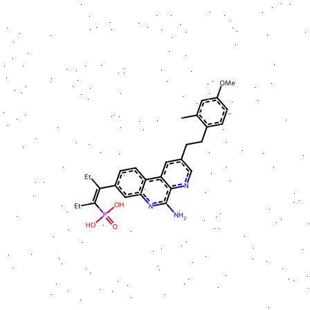 CCC(=C(CC)P(=O)(O)O)c1ccc2c(c1)nc(N)c1ncc(CCc3ccc(OC)cc3C)cc12